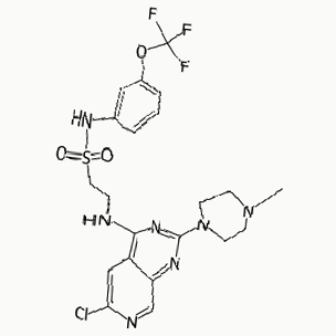 CN1CCN(c2nc(NCCS(=O)(=O)Nc3cccc(OC(F)(F)F)c3)c3cc(Cl)ncc3n2)CC1